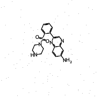 Nc1ccc2nc(-c3ccccc3S(=O)(=O)N3CCNCC3)cnc2c1